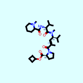 C/C(=C\[C@H](C(C)C)N(C)C(=O)[C@@H](NC(=O)C1CCCCN1C)C(C)C)C(=O)N1CCC[C@H]1C(=O)OC1CCC1